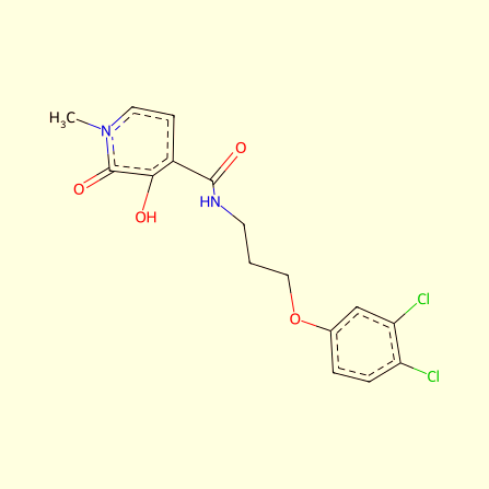 Cn1ccc(C(=O)NCCCOc2ccc(Cl)c(Cl)c2)c(O)c1=O